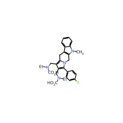 CCN(Cc1c(CN(CC)C(=O)O)c(-c2ccc(F)cc2)n2c1Cc1c(n(C)c3ccccc13)C2)C(=O)O